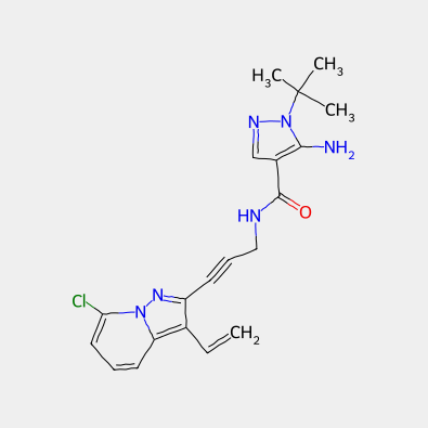 C=Cc1c(C#CCNC(=O)c2cnn(C(C)(C)C)c2N)nn2c(Cl)cccc12